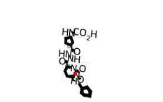 O=C(O)N[C@@H]1CC[C@H](C(=O)NNC(=O)[C@@H]2CC[C@@H]3CN2C(=O)N3OCc2ccccc2)C1